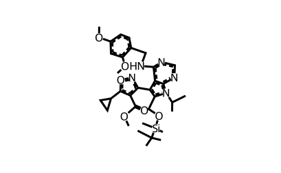 COC(=O)c1c(-c2c(CO[Si](C)(C)C(C)(C)C)n(C(C)C)c3ncnc(NCc4ccc(OC)cc4OC)c23)noc1C1CC1